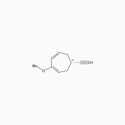 C#C[C@H]1CC=CC(OC(C)CC)=CC1